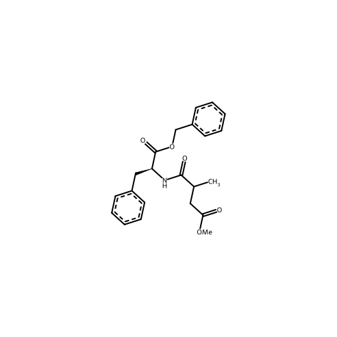 COC(=O)CC(C)C(=O)N[C@@H](Cc1ccccc1)C(=O)OCc1ccccc1